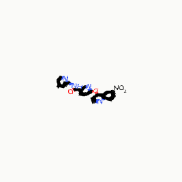 Cc1ccnc(NC(=O)c2ccc(Oc3ccnc4ccc([N+](=O)[O-])cc34)nc2)c1